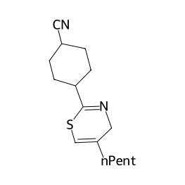 CCCCCC1=CSC(C2CCC(C#N)CC2)=NC1